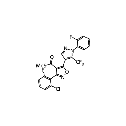 CSC(=O)c1c(-c2c(F)cccc2Cl)noc1-c1cnn(-c2ccccc2F)c1C(F)(F)F